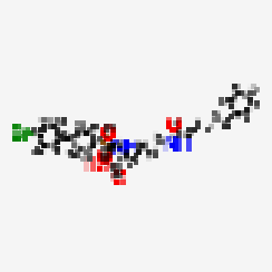 O=C(CCCCCc1ccccc1)NCCCCC(NS(=O)(=O)c1ccc(-c2ccc(Br)cc2)cc1)C(=O)O